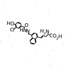 NC(C/C=C/c1ccc(/C=N/NC(=O)c2ccc(O)c(Cl)c2)c2ccccc12)C(=O)O